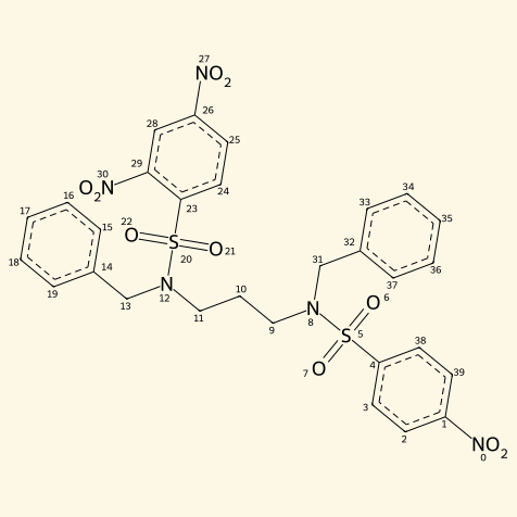 O=[N+]([O-])c1ccc(S(=O)(=O)N(CCCN(Cc2ccccc2)S(=O)(=O)c2ccc([N+](=O)[O-])cc2[N+](=O)[O-])Cc2ccccc2)cc1